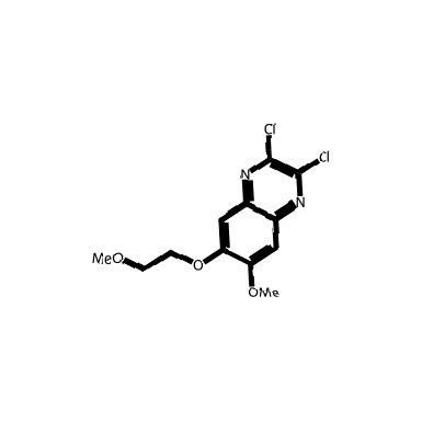 COCCOc1cc2nc(Cl)c(Cl)nc2cc1OC